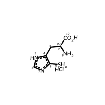 Cl.N[C@@H](Cc1[nH]cnc1S)C(=O)O